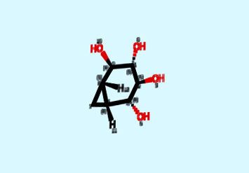 O[C@@H]1[C@@H](O)[C@H](O)[C@@H]2C[C@@H]2[C@H]1O